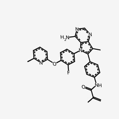 C=C(C)C(=O)Nc1ccc(-c2c(C)c3ncnc(N)c3n2-c2ccc(Oc3cccc(C)n3)c(F)c2)cc1